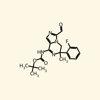 CC(C)(C)OC(=O)NC1=NC(C)(c2ccccc2F)Cn2c1cnc2C=O